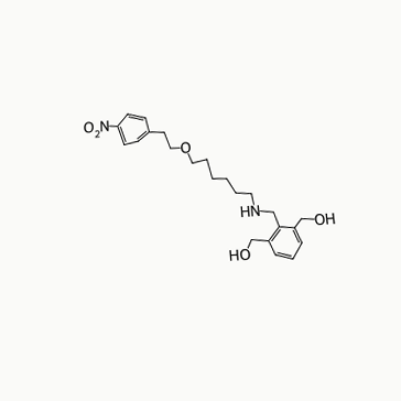 O=[N+]([O-])c1ccc(CCOCCCCCCNCc2c(CO)cccc2CO)cc1